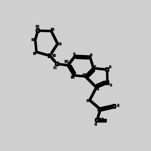 COC(=O)Cc1noc2ccc(ON3CCOCC3)cc12